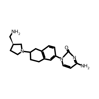 NC[C@@H]1CCN(C2CCc3cc(-n4ccc(N)nc4=O)ccc3C2)C1